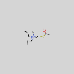 CCC[N+](CC)(CCC)CCSC(C)=O